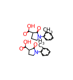 Cc1ccccc1N1CCC(C(=O)O)C1=O.Cc1ccccc1N1CCC(C(=O)O)C1=O